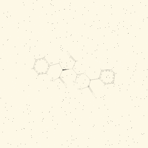 [2H]N(OC(C(=O)O)c1ccccc1)[C@H]([C]=O)C(Cc1ccccc1)C(=O)O